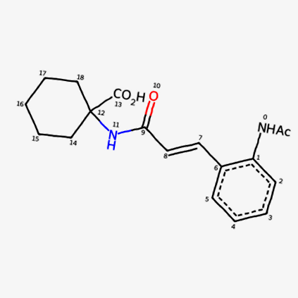 CC(=O)Nc1ccccc1C=CC(=O)NC1(C(=O)O)CCCCC1